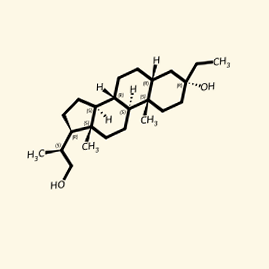 CC[C@@]1(O)CC[C@@]2(C)[C@H](CC[C@@H]3[C@@H]2CC[C@]2(C)[C@@H]([C@H](C)CO)CC[C@@H]32)C1